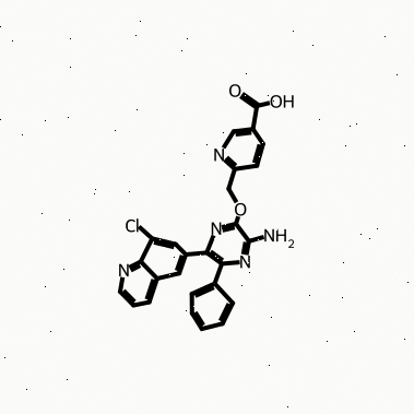 Nc1nc(-c2ccccc2)c(-c2cc(Cl)c3ncccc3c2)nc1OCc1ccc(C(=O)O)cn1